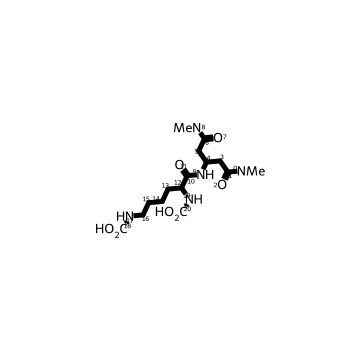 CNC(=O)CC(CC(=O)NC)NC(=O)C(CCCCNC(=O)O)NC(=O)O